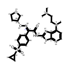 CN(C)CCN(C)c1ccnc2sc(NC(=O)/C(=N/O[C@@H]3CCOC3)c3ccc(S(=O)(=O)C4CC4)cc3)nc12